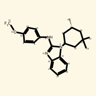 C[C@H]1CC(n2c(Nc3ccc(OC(F)(F)F)cc3)nc3ccccc32)CC(C)(C)C1